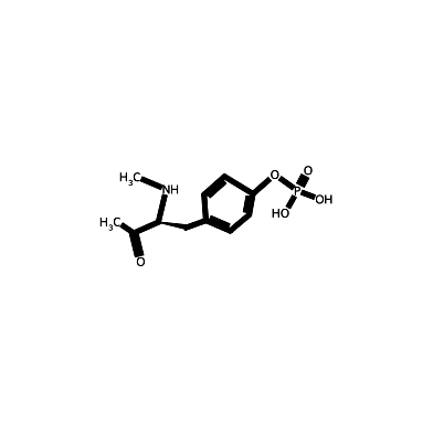 CN[C@@H](Cc1ccc(OP(=O)(O)O)cc1)C(C)=O